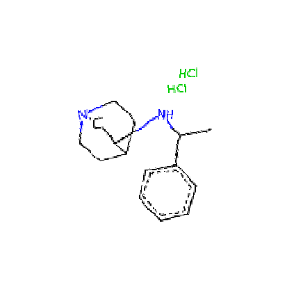 CC(NC1CN2CCC1CC2)c1ccccc1.Cl.Cl